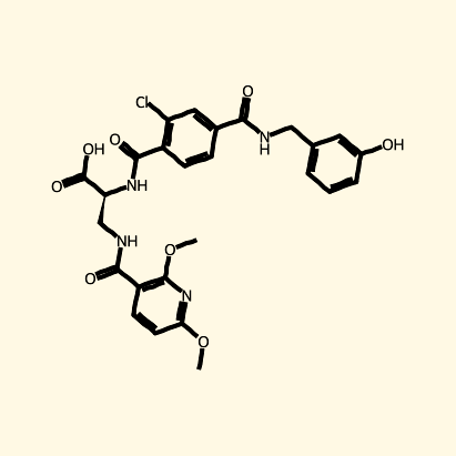 COc1ccc(C(=O)NC[C@H](NC(=O)c2ccc(C(=O)NCc3cccc(O)c3)cc2Cl)C(=O)O)c(OC)n1